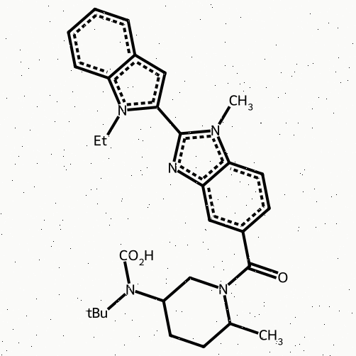 CCn1c(-c2nc3cc(C(=O)N4CC(N(C(=O)O)C(C)(C)C)CCC4C)ccc3n2C)cc2ccccc21